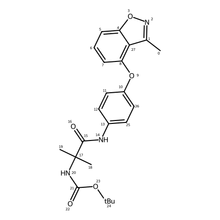 Cc1noc2cccc(Oc3ccc(NC(=O)C(C)(C)NC(=O)OC(C)(C)C)cc3)c12